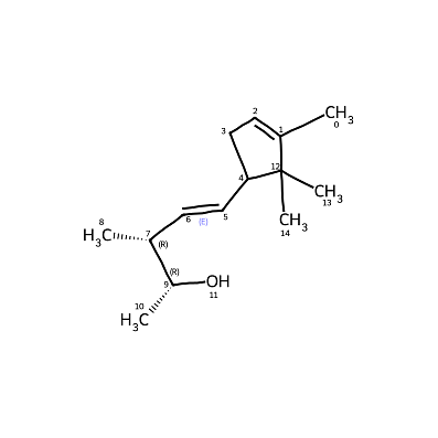 CC1=CCC(/C=C/[C@@H](C)[C@@H](C)O)C1(C)C